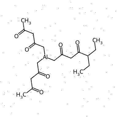 CCC(CC)C(=O)CC(=O)[CH2][Al]([CH2]C(=O)CC(C)=O)[CH2]C(=O)CC(C)=O